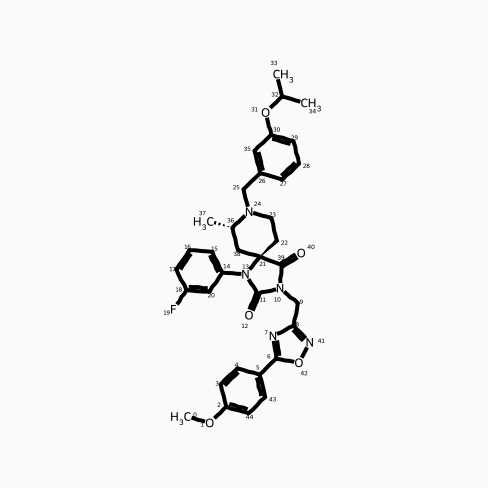 COc1ccc(-c2nc(CN3C(=O)N(c4cccc(F)c4)[C@@]4(CCN(Cc5cccc(OC(C)C)c5)[C@@H](C)C4)C3=O)no2)cc1